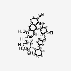 COc1cc2ncc(C#N)c(Nc3ccc(Sc4nc(-c5ccccc5)cs4)c(Cl)c3)c2cc1NC(=O)CC(CN(C)C)N(C)C